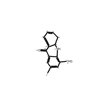 O=Cc1cc(I)cc2c1NC1CC=CC=C1C2=O